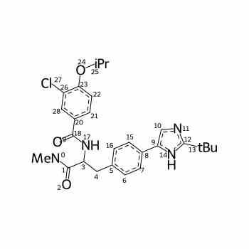 CNC(=O)C(Cc1ccc(-c2cnc(C(C)(C)C)[nH]2)cc1)NC(=O)c1ccc(OC(C)C)c(Cl)c1